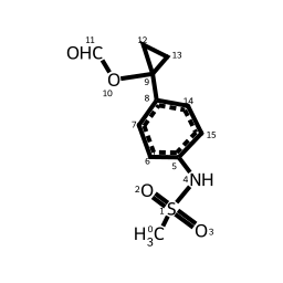 CS(=O)(=O)Nc1ccc(C2(OC=O)CC2)cc1